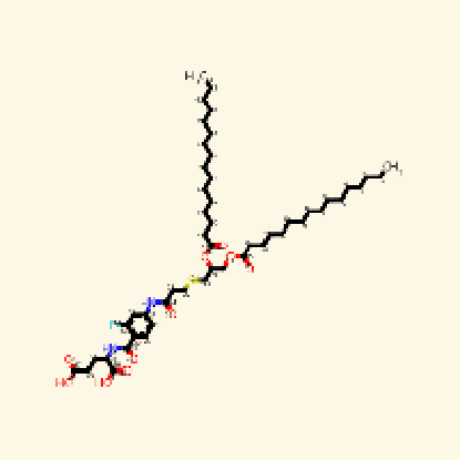 CCCCCCCCCCCCCCCC(=O)OCC(CSCCC(=O)Nc1ccc(C(=O)NC(CCC(=O)O)C(=O)O)c(F)c1)OC(=O)CCCCCCCCCCCCCCC